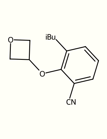 CCC(C)c1cccc(C#N)c1OC1COC1